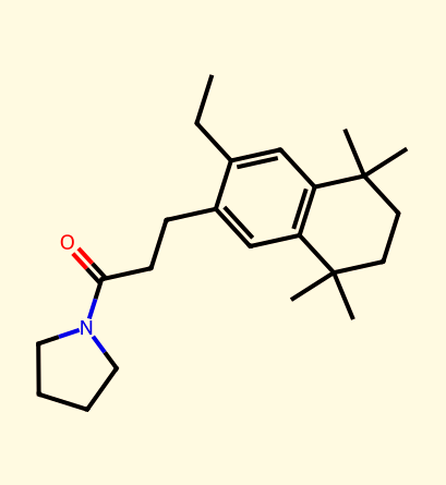 CCc1cc2c(cc1CCC(=O)N1CCCC1)C(C)(C)CCC2(C)C